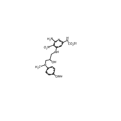 CCOC(=O)Nc1cc(NCC(O)CN(C)c2ccc(OC)cc2)c([N+](=O)[O-])c(N)n1